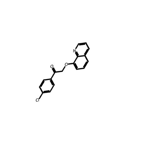 O=C(COc1cccc2cccnc12)c1ccc(Cl)cc1